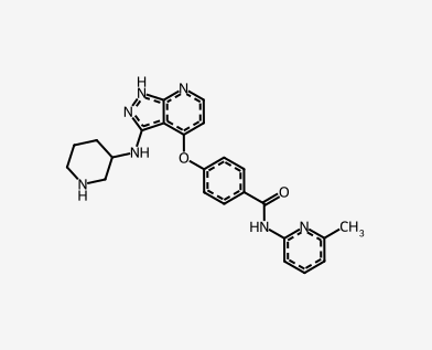 Cc1cccc(NC(=O)c2ccc(Oc3ccnc4[nH]nc(NC5CCCNC5)c34)cc2)n1